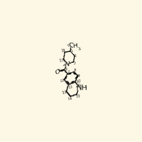 CC1CCN(C(=O)c2ccc3c(c2)CCCN3)CC1